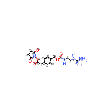 N=C(N)NCCNC(=O)OCc1ccc(CC(=O)ON2C(=O)CCC2=O)cc1